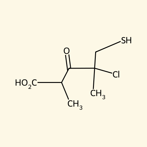 CC(C(=O)O)C(=O)C(C)(Cl)CS